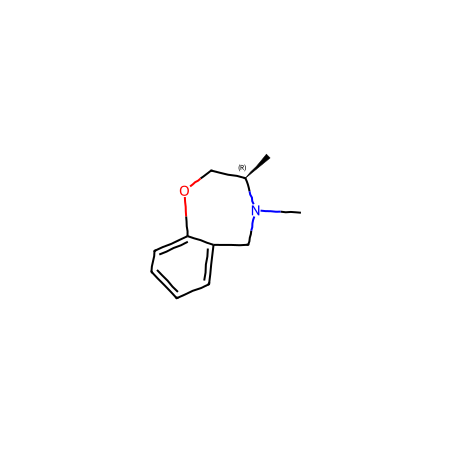 C[C@@H]1COc2ccccc2CN1C